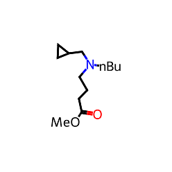 CCCCN(CCCC(=O)OC)CC1CC1